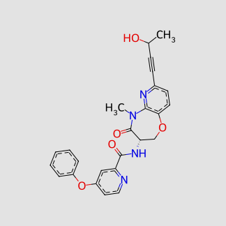 CC(O)C#Cc1ccc2c(n1)N(C)C(=O)[C@@H](NC(=O)c1cc(Oc3ccccc3)ccn1)CO2